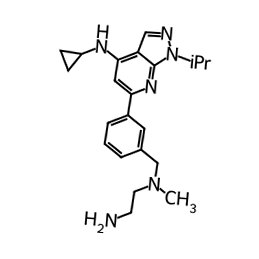 CC(C)n1ncc2c(NC3CC3)cc(-c3cccc(CN(C)CCN)c3)nc21